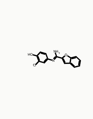 NC(=Nc1ccc(O)c(Cl)c1)c1cc2ccccc2o1